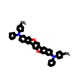 Cc1ccc(N(c2ccccc2)c2ccc3cc4c(cc3c2)oc2cc3c(cc24)oc2cc4cc(N(c5ccccc5)c5ccc(C)cc5)ccc4cc23)cc1